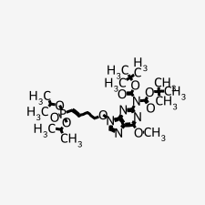 COc1nc(N(C(=O)OC(C)(C)C)C(=O)OC(C)(C)C)nc2c1ncn2OCC/C=C/P(=O)(OC(C)C)OC(C)C